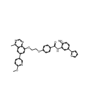 COc1ccc(-c2cc(OCCOc3ccc(C(=O)Nc4cc(-c5cccs5)ccc4N)cc3)c3ncnc(C)c3c2)cn1